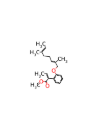 CC=C(C)CCC=C(C)COc1ccccc1C(=CC)C(=O)OC